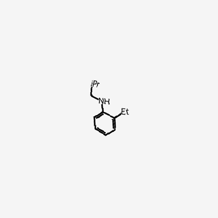 CCc1ccccc1NCC(C)C